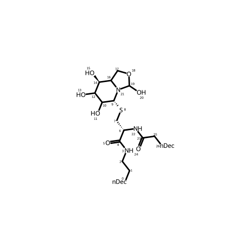 CCCCCCCCCCCCNC(=O)[C@H](CS[C@@H]1C(O)C(O)[C@@H](O)C2COC(O)N21)NC(=O)CCCCCCCCCCC